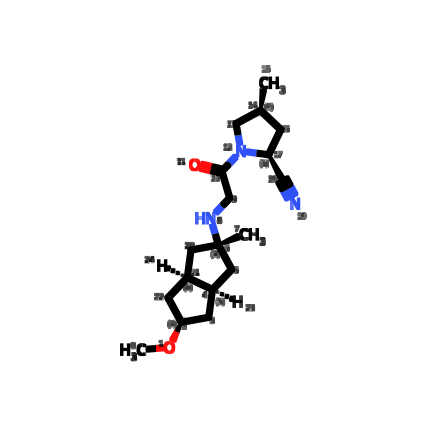 CO[C@@H]1C[C@@H]2C[C@@](C)(NCC(=O)N3C[C@@H](C)C[C@H]3C#N)C[C@@H]2C1